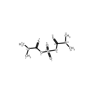 CN(C)C(=S)OS(=O)(=O)OC(=S)N(C)C